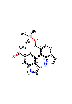 CC(C)[Si](OCc1ccc2cc[nH]c2c1)(C(C)C)C(C)C.COC(=O)c1ccc2cc[nH]c2c1